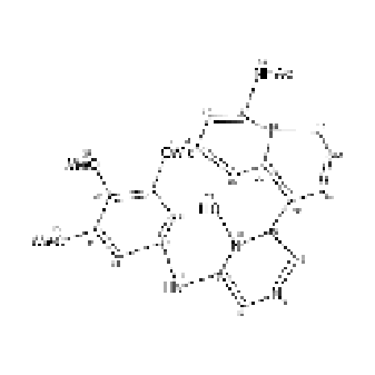 COc1cc(NC2=CN=CC(c3cccc4c(NC(C)=O)cccc34)N2O)cc(OC)c1OC